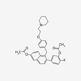 CC(=O)Oc1ccc2c(Cc3ccc(OCCN4CCCCC4)cc3)c(-c3ccc(F)c(OC(C)=O)c3)ccc2c1